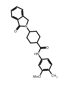 COc1cc(NC(=O)C2CCC(N3Cc4ccccc4C3=O)CC2)ccc1C